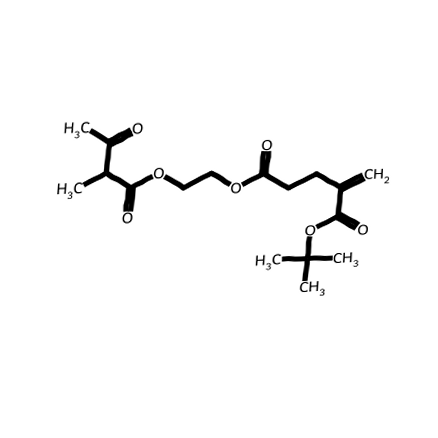 C=C(CCC(=O)OCCOC(=O)C(C)C(C)=O)C(=O)OC(C)(C)C